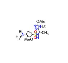 CCN(C)c1ccc(S(=O)(=O)N[C@H](C)c2nnc(OC)n2CC)cc1OC